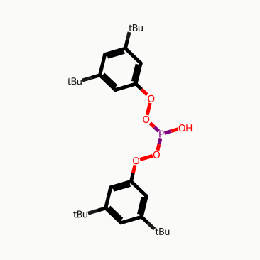 CC(C)(C)c1cc(OOP(O)OOc2cc(C(C)(C)C)cc(C(C)(C)C)c2)cc(C(C)(C)C)c1